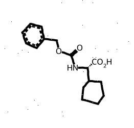 O=C(N[C@H](C(=O)O)C1CCCCC1)OCc1ccccc1